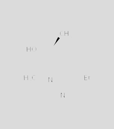 CC/C=N\N(C)C[C@H](C)O